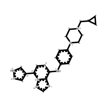 c1nc2c(Nc3ccc(N4CCN(CC5CC5)CC4)cc3)ncc(-c3cn[nH]c3)n2n1